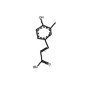 Cc1cc(/C=C/C(=O)C(C)(C)C)ccc1O